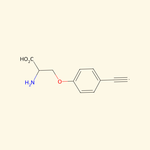 [C]#Cc1ccc(OCC(N)C(=O)O)cc1